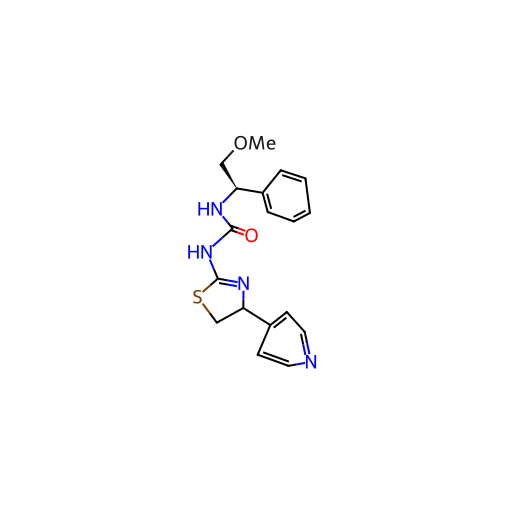 COC[C@H](NC(=O)NC1=NC(c2ccncc2)CS1)c1ccccc1